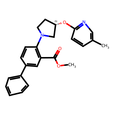 COC(=O)c1cc(-c2ccccc2)ccc1N1CC[C@H](Oc2ccc(C)cn2)C1